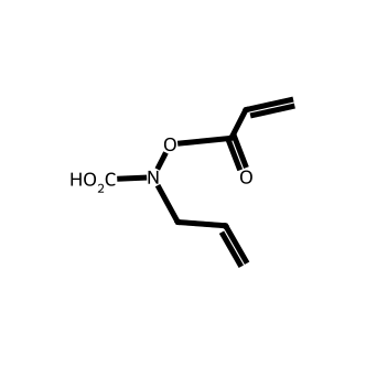 C=CCN(OC(=O)C=C)C(=O)O